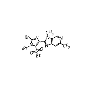 CCS(=O)(=O)c1c(-c2nc3cc(C(F)(F)F)ncc3n2C)nc(Br)n1C(C)C